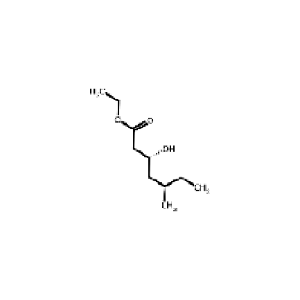 CCOC(=O)C[C@H](O)C[C@H](C)CC